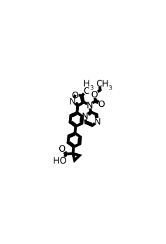 CCOC(=O)N(c1cnccn1)c1c(-c2ccc(-c3ccc(C4(C(=O)O)CC4)cc3)cc2)noc1C